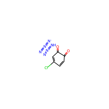 O=C1C=CC(Cl)=CC1=O.[N-]=[N+]=N.[N-]=[N+]=[N-]